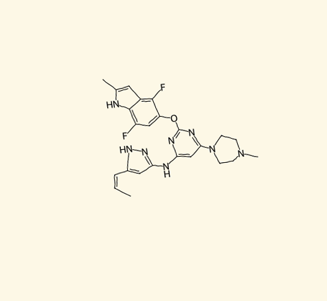 C/C=C\c1cc(Nc2cc(N3CCN(C)CC3)nc(Oc3cc(F)c4[nH]c(C)cc4c3F)n2)n[nH]1